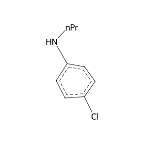 [CH2]CCNc1ccc(Cl)cc1